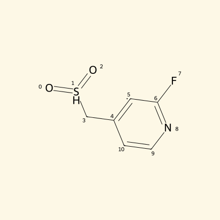 O=[SH](=O)Cc1[c]c(F)ncc1